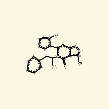 CC(Cc1ccccc1)n1c(-c2ccccc2O)nc2snc(C#N)c2c1=O